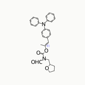 C/C(=C\c1ccc(N(c2ccccc2)c2ccccc2)cc1)OC(=O)N(C=O)CC1CCCO1